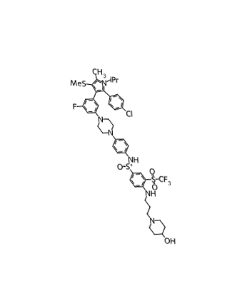 CSc1c(-c2cc(F)cc(N3CCN(c4ccc(N[S+]([O-])c5ccc(NCCCN6CCC(O)CC6)c(S(=O)(=O)C(F)(F)F)c5)cc4)CC3)c2)c(-c2ccc(Cl)cc2)n(C(C)C)c1C